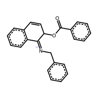 O=C(OC1C=Cc2ccccc2/C1=N/Cc1ccccc1)c1ccccc1